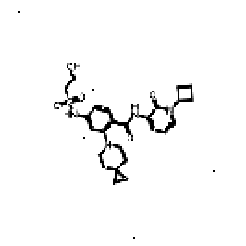 O=C(Nc1cccn(C2CCC2)c1=O)c1ccc(NS(=O)(=O)CCO)cc1N1CCC2(CC1)CC2